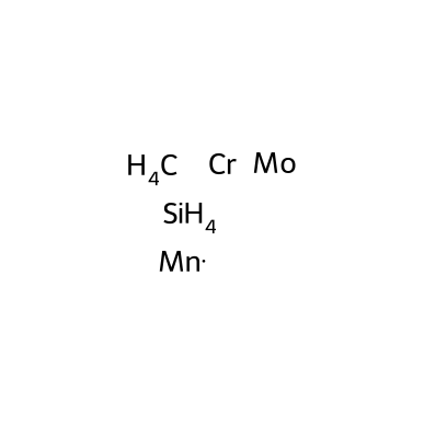 C.[Cr].[Mn].[Mo].[SiH4]